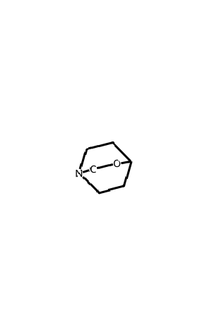 C1CN2CCC1OC2